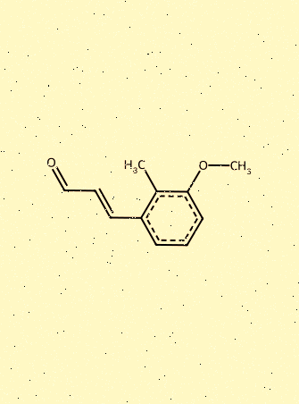 COc1cccc(/C=C/C=O)c1C